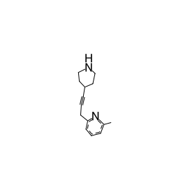 Cc1cccc(CC#CC2CCNCC2)n1